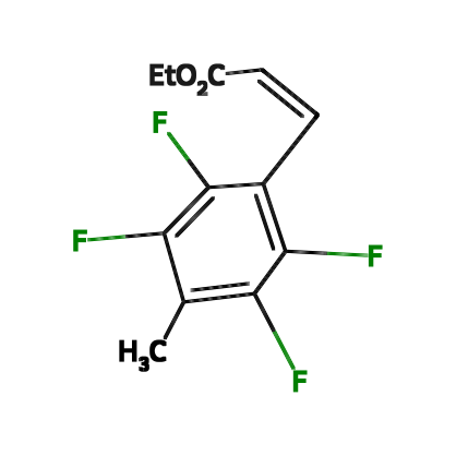 CCOC(=O)/C=C\c1c(F)c(F)c(C)c(F)c1F